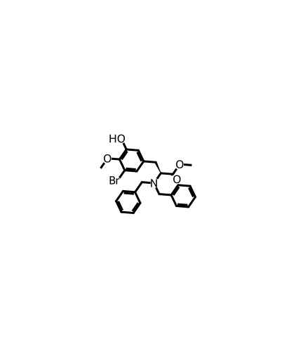 COC(=O)[C@H](Cc1cc(O)c(OC)c(Br)c1)N(Cc1ccccc1)Cc1ccccc1